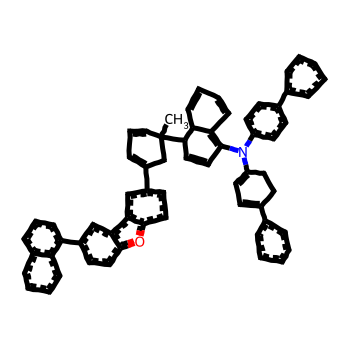 CC1(C2C=CC(N(C3=CC=C(c4ccccc4)CC3)c3ccc(-c4ccccc4)cc3)=C3C=CC=CC32)C=CC=C(c2ccc3oc4ccc(-c5cccc6ccccc56)cc4c3c2)C1